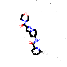 O=C(Nc1ccn2nc(C(=O)N3CCOCC3)cc2c1)c1cccc(C(F)(F)F)n1